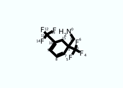 NCC1(C(F)(F)F)C=CC=C(C(F)(F)F)C1